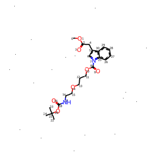 COC(=O)Cc1cn(C(=O)OCCCOCCNC(=O)OC(C)(C)C)c2ccccc12